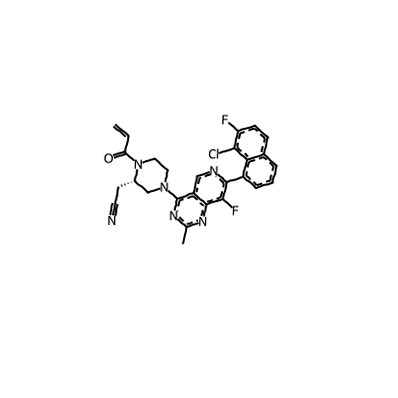 C=CC(=O)N1CCN(c2nc(C)nc3c(F)c(-c4cccc5ccc(F)c(Cl)c45)ncc23)C[C@@H]1CC#N